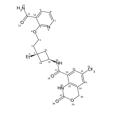 CC[C@]1(CCOc2ncccc2C(N)=O)C[C@H](NC(=O)c2cc(C(F)(F)F)cc3c2NC(=O)OC3)C1